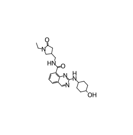 CCN1CC(CNC(=O)c2cccc3cnc(NC4CCC(O)CC4)nc23)CC1=O